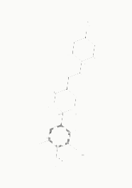 CCCCCCCCC1CCC(CCC2COC(c3cc(F)c(C#N)c(F)c3)OC2)CC1